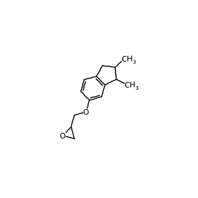 CC1Cc2ccc(OCC3CO3)cc2C1C